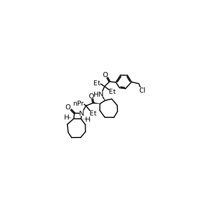 CCCC(CC)(C(=O)[C@@H]1CCCCCC[C@@H]1NC(CC)(CC)C(=O)c1ccc(CCl)cc1)N1C(=O)[C@@H]2CCCCCC[C@@H]21